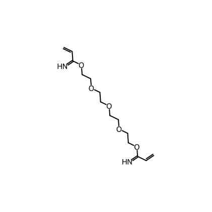 C=CC(=N)OCCOCCOCCOCCOC(=N)C=C